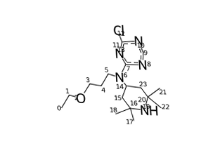 CCOCCCN(c1ncnc(Cl)n1)C1CC(C)(C)NC(C)(C)C1